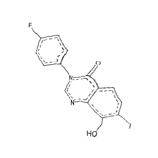 O=c1c2ccc(I)c(O)c2ncn1-c1ccc(F)cc1